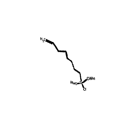 C=CCCCCCC[Si](Cl)(OC)OC